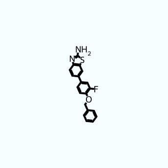 Nc1nc2ccc(-c3ccc(OCc4ccccc4)c(F)c3)cc2s1